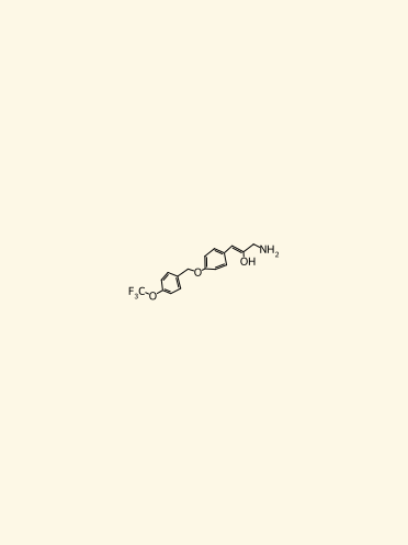 NCC(O)=Cc1ccc(OCc2ccc(OC(F)(F)F)cc2)cc1